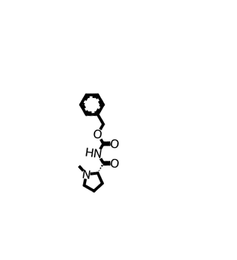 CN1CCC[C@H]1C(=O)NC(=O)OCc1ccccc1